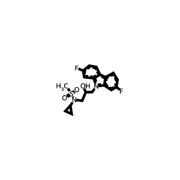 CS(=O)(=O)N(CC(O)Cn1c2cc(F)ccc2c2ccc(F)cc21)C1CC1